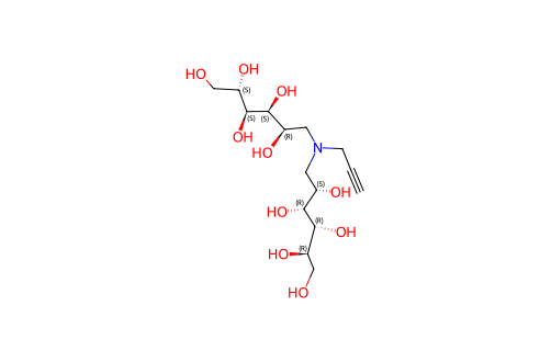 C#CCN(C[C@@H](O)[C@H](O)[C@@H](O)[C@@H](O)CO)C[C@H](O)[C@@H](O)[C@H](O)[C@H](O)CO